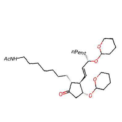 CCCCC[C@@H](/C=C/[C@H]1[C@H](OC2CCCCO2)CC(=O)[C@@H]1CCCCCCCNC(C)=O)OC1CCCCO1